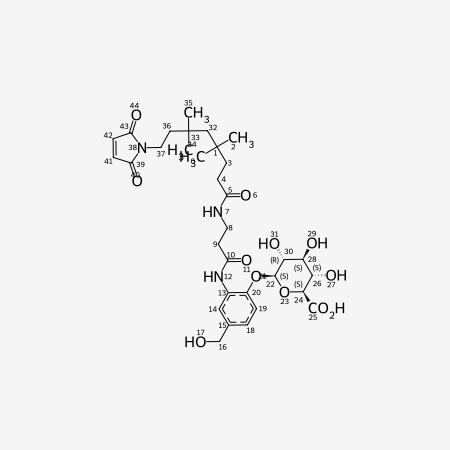 CC(C)(CCC(=O)NCCC(=O)Nc1cc(CO)ccc1O[C@@H]1O[C@H](C(=O)O)[C@@H](O)[C@H](O)[C@H]1O)CC(C)(C)CCN1C(=O)C=CC1=O